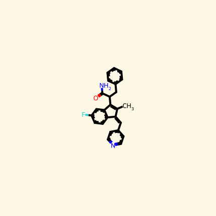 CC1=C(C(Cc2ccccc2)C(N)=O)c2cc(F)ccc2/C1=C\c1ccncc1